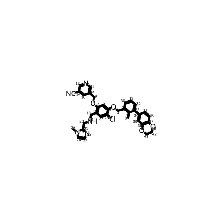 Cc1c(COc2cc(OCc3cncc(C#N)c3)c(CNCc3nccn3C)cc2Cl)cccc1-c1ccc2c(c1)OCCO2